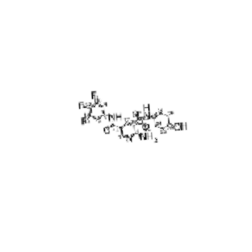 Nc1ncc(C(=O)Nc2cc(F)c(F)c(F)c2)cc1S(=O)(=O)NC1CCC(O)CC1